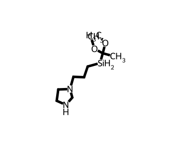 COC(C)(OC)[SiH2]CCCN1CCNC1